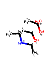 CCNCC.CCO.CCO.O